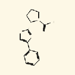 O=C(O)N1CCC[C@H]1c1nc(-c2ccccc2)co1